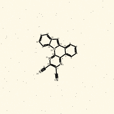 N#Cc1nc2c3ccccc3c3cc4ccccc4n3c2nc1C#N